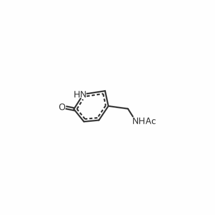 CC(=O)NCc1ccc(=O)[nH]c1